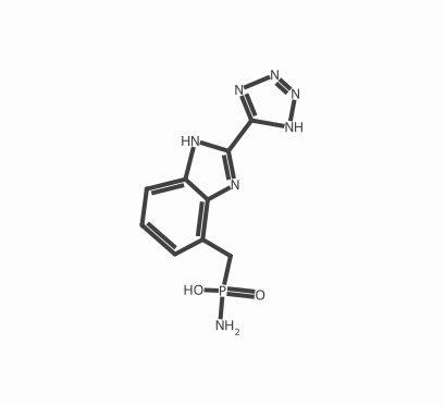 NP(=O)(O)Cc1cccc2[nH]c(-c3nnn[nH]3)nc12